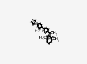 C=C(c1ccc(-c2ccc(-n3ccnc3)cc2O)nn1)[C@@H]1C[C@@]2(C)CCC[C@](C)(N2)[C@@H]1F